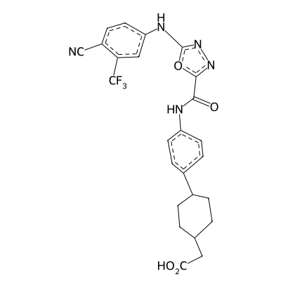 N#Cc1ccc(Nc2nnc(C(=O)Nc3ccc(C4CCC(CC(=O)O)CC4)cc3)o2)cc1C(F)(F)F